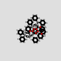 CN(C(CCC(C([C@H](Cc1ccccc1)N(C)P(c1ccccc1)c1ccccc1)[PH](O)(c1ccccc1)c1ccccc1)[PH](O)(c1ccccc1)c1ccccc1)C[PH](O)(c1ccccc1)c1ccccc1)P(c1ccccc1)c1ccccc1